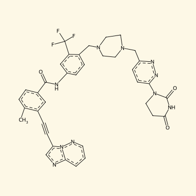 Cc1ccc(C(=O)Nc2ccc(CN3CCN(Cc4ccc(N5CCC(=O)NC5=O)nn4)CC3)c(C(F)(F)F)c2)cc1C#Cc1cnc2cccnn12